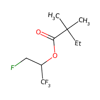 CCC(C)(C)C(=O)OC(CF)C(F)(F)F